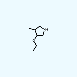 CCOC1CNCC1C